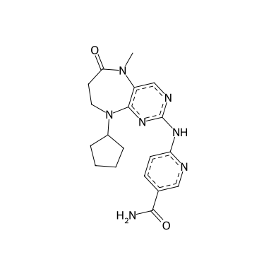 CN1C(=O)CCN(C2CCCC2)c2nc(Nc3ccc(C(N)=O)cn3)ncc21